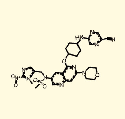 Cn1c(CN(c2cnc3cc(N4CCOCC4)nc(OC4CCC(Nc5cnc(C#N)cn5)CC4)c3c2)S(C)(=O)=O)cnc1[N+](=O)[O-]